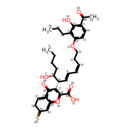 CCCC[C@H](O)[C@H](/C=C/C=C\CCOc1ccc(C(C)=O)c(O)c1CCC)c1c(C(=O)O)oc2c(c1=O)=CCC(=S)C=2